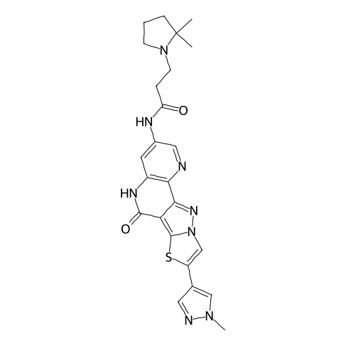 Cn1cc(-c2cn3nc4c5ncc(NC(=O)CCN6CCCC6(C)C)cc5[nH]c(=O)c4c3s2)cn1